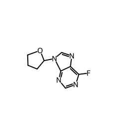 Fc1ncnc2c1ncn2C1CCCO1